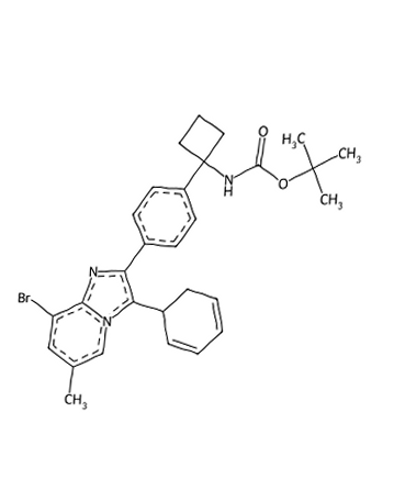 Cc1cc(Br)c2nc(-c3ccc(C4(NC(=O)OC(C)(C)C)CCC4)cc3)c(C3C=CC=CC3)n2c1